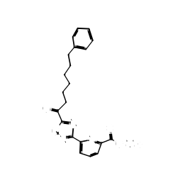 COC(=O)c1cccc(-c2noc(C(=O)CCCCCCc3ccccc3)n2)n1